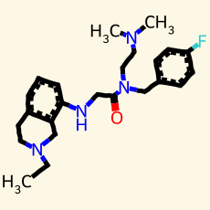 CCN1CCc2cccc(NCC(=O)N(CCN(C)C)Cc3ccc(F)cc3)c2C1